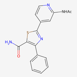 CC(=O)Nc1cc(-c2nc(-c3ccccc3)c(C(N)=O)s2)ccn1